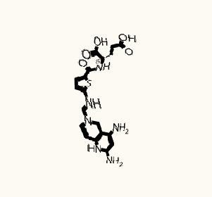 NC1=CC(N)NC2=C1CN(CNc1ccc(C(=O)N[C@@H](CCC(=O)O)C(=O)O)s1)C=C2